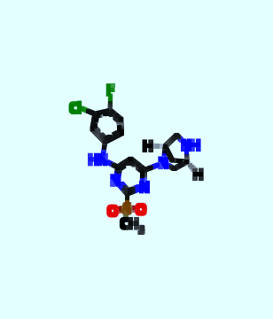 CS(=O)(=O)c1nc(Nc2ccc(F)c(Cl)c2)cc(N2C[C@H]3C[C@@H]2CN3)n1